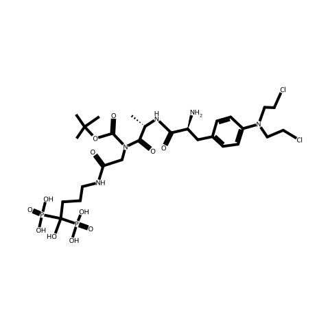 C[C@H](NC(=O)[C@@H](N)Cc1ccc(N(CCCl)CCCl)cc1)C(=O)N(CC(=O)NCCCC(O)(P(=O)(O)O)P(=O)(O)O)C(=O)OC(C)(C)C